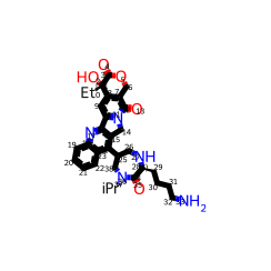 CC[C@@]1(O)C(=O)OCc2c1cc1n(c2=O)Cc2c-1nc1ccccc1c2C1CN[C@@H](CCCCN)C(=O)N(C(C)C)C1